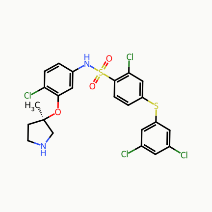 C[C@@]1(Oc2cc(NS(=O)(=O)c3ccc(Sc4cc(Cl)cc(Cl)c4)cc3Cl)ccc2Cl)CCNC1